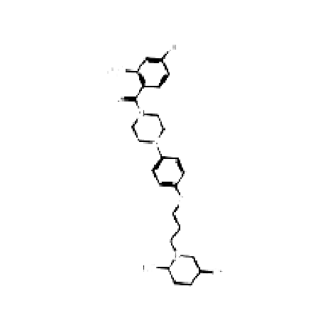 CCC1CCC(C)N(CCCOc2ccc(N3CCN(C(=O)c4ccc(Br)cc4C)CC3)cc2)C1